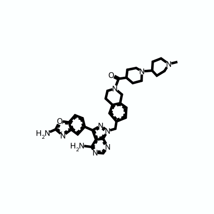 CN1CCC(N2CCC(C(=O)N3CCc4cc(Cn5nc(-c6ccc7oc(N)nc7c6)c6c(N)ncnc65)ccc4C3)CC2)CC1